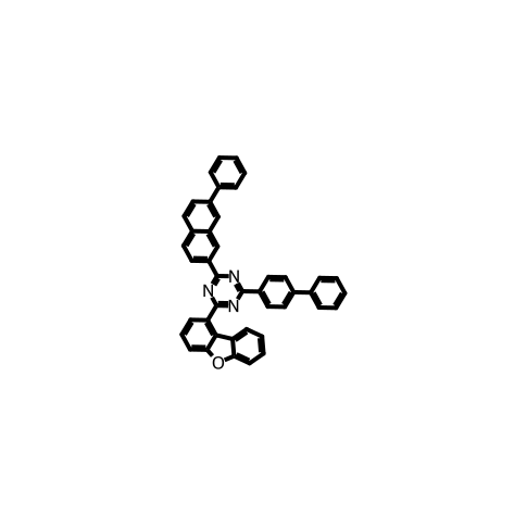 c1ccc(-c2ccc(-c3nc(-c4ccc5ccc(-c6ccccc6)cc5c4)nc(-c4cccc5oc6ccccc6c45)n3)cc2)cc1